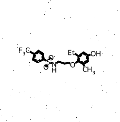 CCc1cc(O)cc(C)c1OCCCNS(=O)(=O)c1ccc(C(F)(F)F)cc1